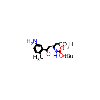 Cc1ccc(N)cc1C(=O)C[C@@H](CC(=O)O)NC(=O)OC(C)(C)C